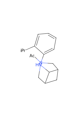 CC(=O)N1CC2CC(C1)C2Nc1ccccc1C(C)C